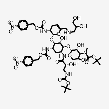 CN(C(=O)OC(C)(C)C)[C@@H]1[C@@H](O)[C@@H](O[C@@H]2[C@@H](O)[C@H](O[C@H]3OC(CNCC(O)CO)=CC[C@H]3NC(=O)OCc3ccc([N+](=O)[O-])cc3)[C@@H](NC(=O)OCc3ccc([N+](=O)[O-])cc3)C[C@H]2NC(=O)[C@H](O)CNC(=O)OC(C)(C)C)OC[C@]1(C)O